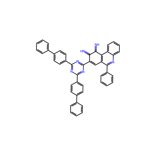 N=C1C(=N)c2c(c(-c3ccccc3)nc3ccccc23)C=C1c1nc(-c2ccc(-c3ccccc3)cc2)nc(-c2ccc(-c3ccccc3)cc2)n1